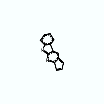 C1=Cc2nc3c(cc2=C1)-c1ccccc1N=3